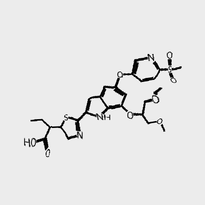 CCC(C(=O)O)C1CN=C(c2cc3cc(Oc4ccc(S(C)(=O)=O)nc4)cc(OC(COC)COC)c3[nH]2)S1